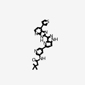 CC(C)(C)CC(=O)Nc1cncc(-c2ccc3[nH]nc(-c4nc5c(-c6ccsc6)ccnc5[nH]4)c3n2)c1